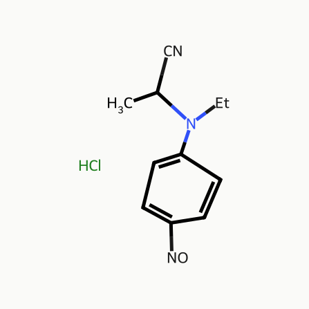 CCN(c1ccc(N=O)cc1)C(C)C#N.Cl